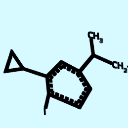 [CH2]C(C)c1ccc(I)c(C2CC2)c1